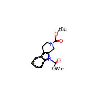 COC(=O)n1c2c(c3ccccc31)CCN(C(=O)OC(C)(C)C)C2